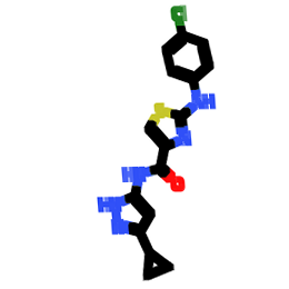 O=C(Nc1cc(C2CC2)n[nH]1)c1csc(Nc2ccc(Cl)cc2)n1